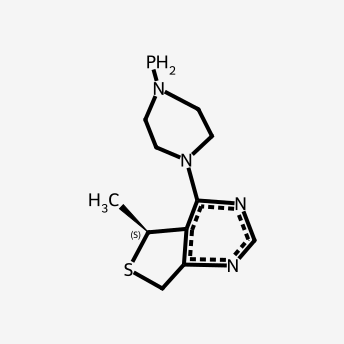 C[C@@H]1SCc2ncnc(N3CCN(P)CC3)c21